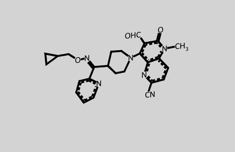 Cn1c(=O)c(C=O)c(N2CCC(/C(=N/OCC3CC3)c3ccccn3)CC2)c2nc(C#N)ccc21